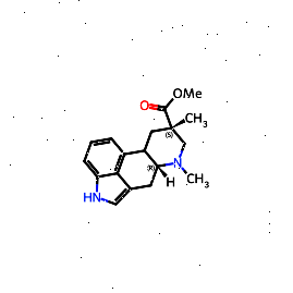 COC(=O)[C@@]1(C)CC2c3cccc4[nH]cc(c34)C[C@H]2N(C)C1